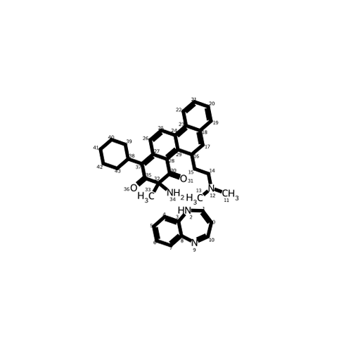 C1=CNc2ccccc2N=C1.CN(C)CCC1C=c2ccccc2=c2ccc3c(c21)C(=O)C(C)(N)C(=O)C=3C1CCCCC1